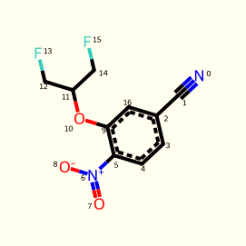 N#Cc1ccc([N+](=O)[O-])c(OC(CF)CF)c1